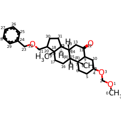 COCOC1CC[C@@]2(C)C(C1)C(=O)C[C@@H]1[C@H]2CC[C@]2(C)C(COCc3ccccc3)CC[C@@H]12